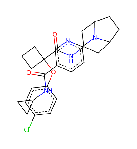 O=C(NC1CC1)c1ccc(N2C3CCC2CC(NC(=O)C2(Oc4ccc(Cl)cc4)CCC2)C3)nc1